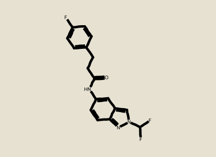 O=C(CCc1ccc(F)cc1)Nc1ccc2nn(C(F)F)cc2c1